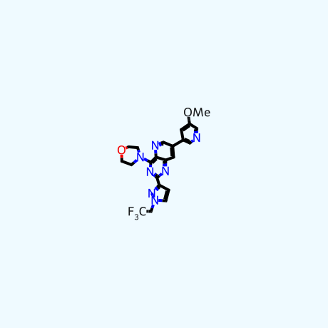 COc1cncc(-c2cnc3c(N4CCOCC4)nc(-c4ccn(CC(F)(F)F)n4)nc3c2)c1